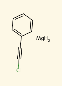 ClC#Cc1ccccc1.[MgH2]